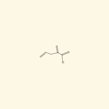 C=CCC(=O)C(=O)Cl